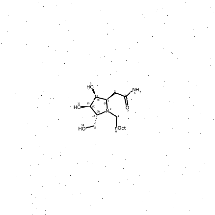 CCCCCCCCCN1[C@H](CC(N)=O)[C@H](O)[C@H](O)[C@H]1CO